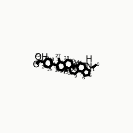 CCNC12CCCC1C1CCC3C4(C)CC=C(C5=CCC(C(=O)O)CC5)C(C)C4CCC3(C)[C@]1(C)CC2